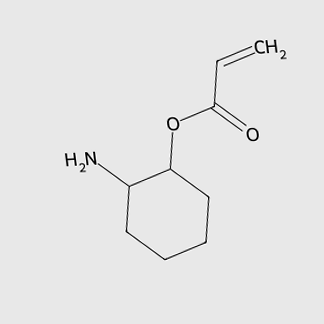 C=CC(=O)OC1CCCCC1N